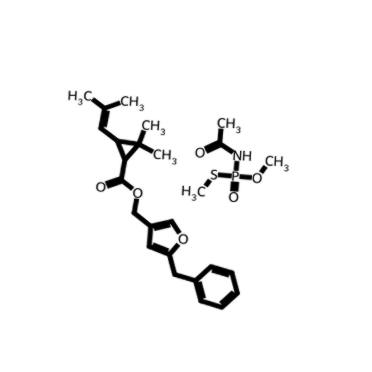 CC(C)=CC1C(C(=O)OCc2coc(Cc3ccccc3)c2)C1(C)C.COP(=O)(NC(C)=O)SC